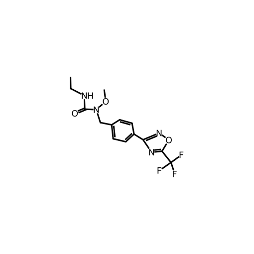 CCNC(=O)N(Cc1ccc(-c2noc(C(F)(F)F)n2)cc1)OC